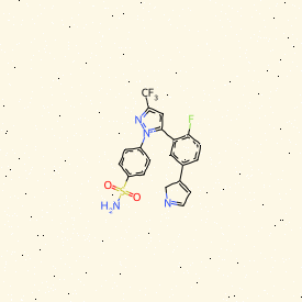 NS(=O)(=O)c1ccc(-n2nc(C(F)(F)F)cc2-c2cc(C3=CC=NC3)ccc2F)cc1